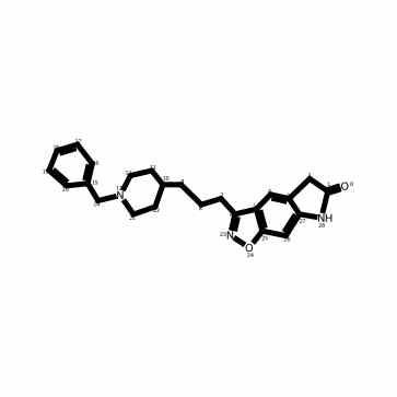 O=C1Cc2cc3c(CCCC4CCN(Cc5ccccc5)CC4)noc3cc2N1